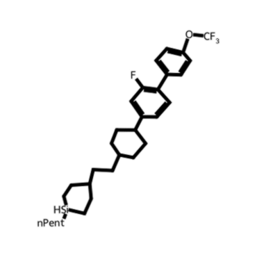 CCCCC[SiH]1CCC(CCC2CCC(c3ccc(-c4ccc(OC(F)(F)F)cc4)c(F)c3)CC2)CC1